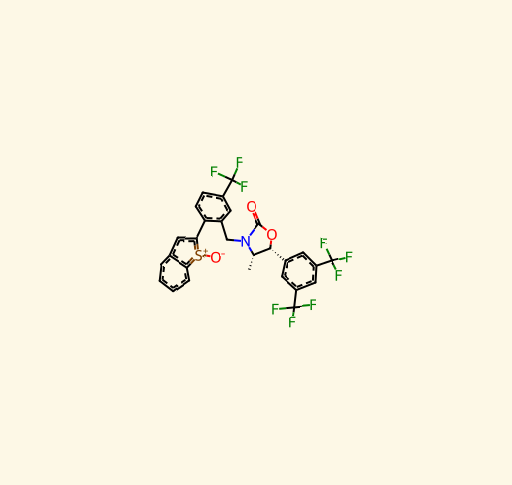 C[C@H]1[C@@H](c2cc(C(F)(F)F)cc(C(F)(F)F)c2)OC(=O)N1Cc1cc(C(F)(F)F)ccc1-c1cc2ccccc2[s+]1[O-]